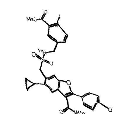 CNC(=O)c1c(-c2ccc(Cl)cc2)oc2cc(CS(=O)(=O)NCc3ccc(I)c(C(=O)OC)c3)c(C3CC3)cc12